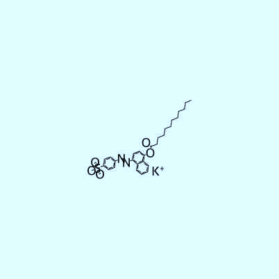 CCCCCCCCCCCC(=O)Oc1ccc(N=Nc2ccc(S(=O)(=O)[O-])cc2)c2ccccc12.[K+]